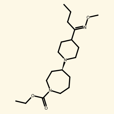 CCC/C(=N\OC)C1CCN([C@H]2CCCN(C(=O)OCC)CC2)CC1